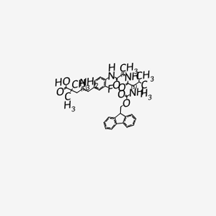 CC(C)[C@H](NC(=O)OCC1c2ccccc2-c2ccccc21)C(=O)N[C@@H](C)C(=O)Nc1ccc(C[C@H](N)CC(C)(C)C(=O)O)cc1F